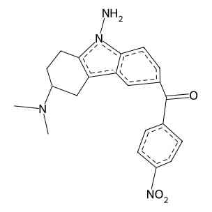 CN(C)C1CCc2c(c3cc(C(=O)c4ccc([N+](=O)[O-])cc4)ccc3n2N)C1